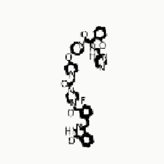 O=C(N[C@@H](C(=O)N1CCC(OC2CCN(CC(=O)N3CCN(C(=O)c4cc(Cc5n[nH]c(=O)c6ccccc56)ccc4F)CC3)CC2)CC1)C1CCCCC1)c1ccncn1